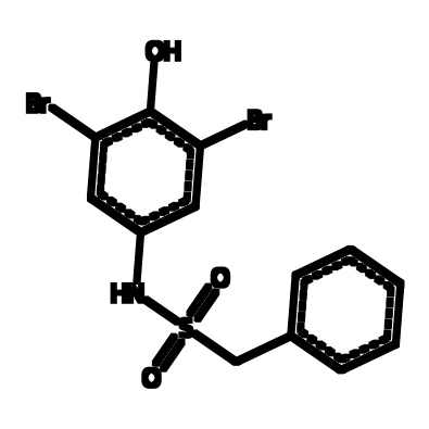 O=S(=O)(Cc1ccccc1)Nc1cc(Br)c(O)c(Br)c1